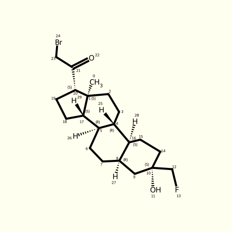 C[C@]12CC[C@H]3[C@@H](CC[C@@H]4C[C@](O)(CF)CC[C@@H]43)[C@@H]1CC[C@@H]2C(=O)CBr